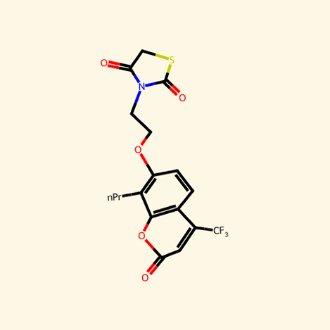 CCCc1c(OCCN2C(=O)CSC2=O)ccc2c(C(F)(F)F)cc(=O)oc12